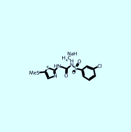 C.CSc1cnc(NC(=O)NS(=O)(=O)c2cccc(Cl)c2)s1.[NaH]